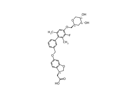 Cc1cc(OC[C@@H]2C[C@@H](O)[C@@H](O)CO2)c(F)c(C)c1-c1cccc(COc2ccc3c(c2)OC[C@H]3CC(=O)O)c1